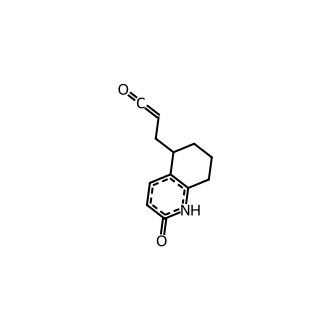 O=C=CCC1CCCc2[nH]c(=O)ccc21